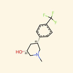 CN1C[C@H](O)C[C@H](c2ccc(C(F)(F)F)cc2)C1